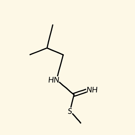 CSC(=N)NCC(C)C